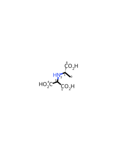 C[C@H](NC(C(=O)O)C(=O)O)C(=O)O